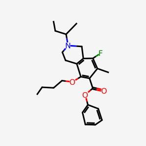 CCCCOc1c2c(c(F)c(C)c1C(=O)Oc1ccccc1)CN(C(C)CC)CC2